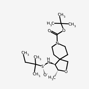 CCC(C)(C)[S@@+]([O-])N[C@@H]1[C@@H](C)OCC12CCN(C(=O)OC(C)(C)C)CC2